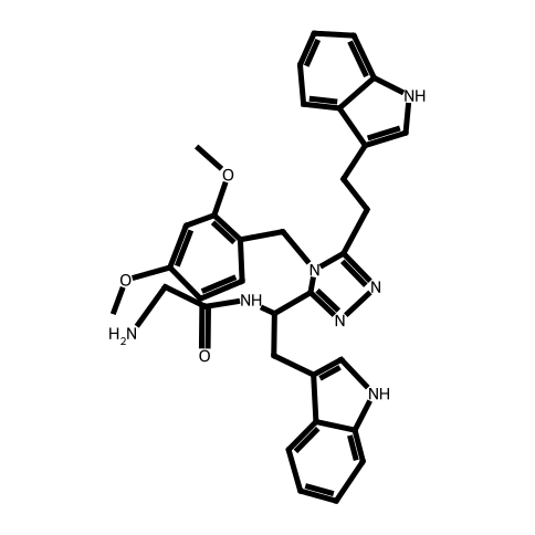 COc1ccc(Cn2c(CCc3c[nH]c4ccccc34)nnc2C(Cc2c[nH]c3ccccc23)NC(=O)CN)c(OC)c1